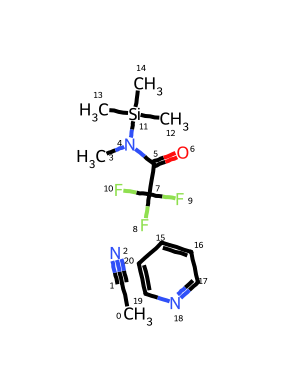 CC#N.CN(C(=O)C(F)(F)F)[Si](C)(C)C.c1ccncc1